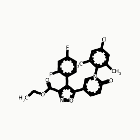 CCOC(=O)c1noc(-c2ccc(=O)n(-c3c(C)cc(Cl)cc3C)c2)c1-c1ccc(F)cc1F